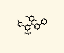 [CH]c1ccc(C)c(N(c2cc(-n3cnc(C)c3)cc(C(F)(F)F)c2)c2nccc(-c3cccnc3)n2)c1